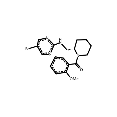 COc1ccccc1C(=O)N1CCCC[C@H]1CNc1ncc(Br)cn1